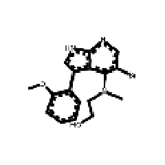 COc1ccccc1-c1c[nH]c2ncc(Br)c(N(C)CCO)c12